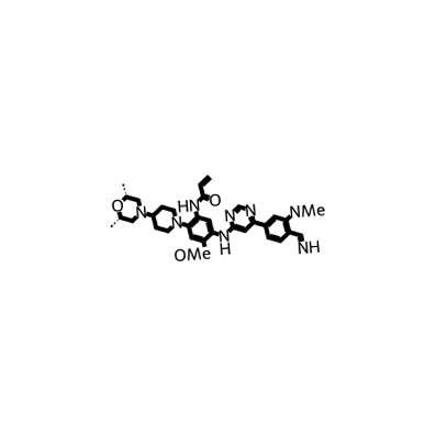 C=CC(=O)Nc1cc(Nc2cc(-c3ccc(C=N)c(NC)c3)ncn2)c(OC)cc1N1CCC(N2C[C@@H](C)O[C@@H](C)C2)CC1